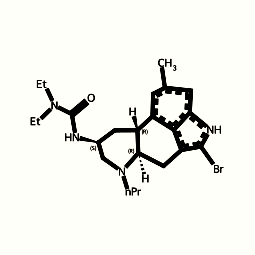 CCCN1C[C@@H](NC(=O)N(CC)CC)C[C@@H]2c3cc(C)cc4[nH]c(Br)c(c34)C[C@H]21